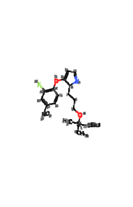 CC(C)(C)[Si](C)(C)OCCCC1N=CC=C1Oc1ccc([N+](=O)[O-])cc1F